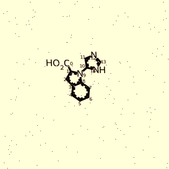 O=C(O)c1cc2ccccc2n1-c1cnc[nH]1